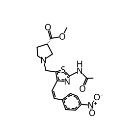 COC(=O)[C@H]1CCN(Cc2sc(NC(C)=O)nc2/C=C\c2ccc([N+](=O)[O-])cc2)C1